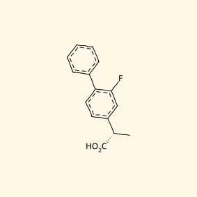 C[C@H](C(=O)O)c1ccc(-c2ccccc2)c(F)c1